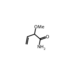 C=CC(OC)C(N)=O